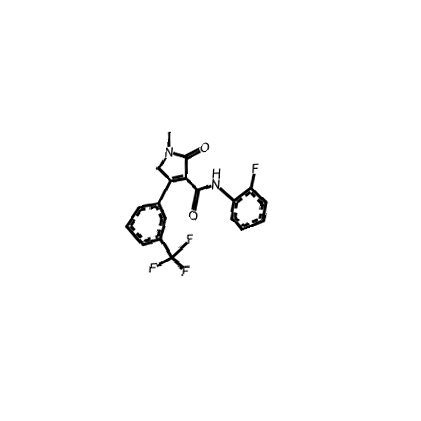 CN1CC(c2cccc(C(F)(F)F)c2)=C(C(=O)Nc2ccccc2F)C1=O